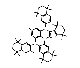 CC1CC2C(C=C1N1c3cc4c(cc3B3c5oc6c(c5N(c5ccc7c(c5)C(C)(C)CCC7(C)C)c5cc(C(C)(C)C)cc1c53)C(C)(C)CCC6(C)C)C(C)(C)CCC4(C)C)C(C)(C)CCC2(C)C